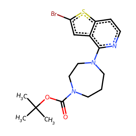 CC(C)(C)OC(=O)N1CCCN(c2nccc3sc(Br)cc23)CC1